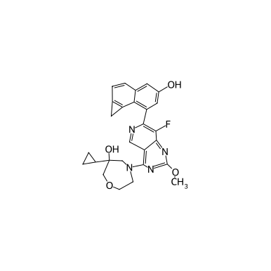 COc1nc(N2CCOCC(O)(C3CC3)C2)c2cnc(-c3cc(O)cc4ccc5c(c34)C5)c(F)c2n1